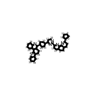 c1ccc(-c2ccc3ccc4ccc(-c5nccc(-c6ccc(-c7nc8ccccc8c8c7ccc7c9ccccc9sc78)cc6)n5)nc4c3n2)cc1